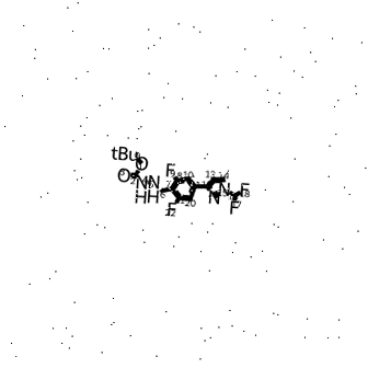 CC(C)(C)OC(=O)NNCc1c(F)cc(-c2ccn(C(F)F)n2)cc1F